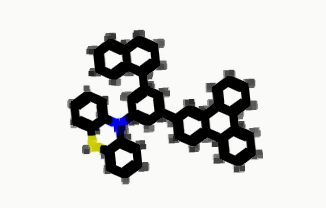 c1ccc2c(c1)Sc1ccccc1N2c1cc(-c2ccc3c4ccccc4c4ccccc4c3c2)cc(-c2cccc3ccccc23)c1